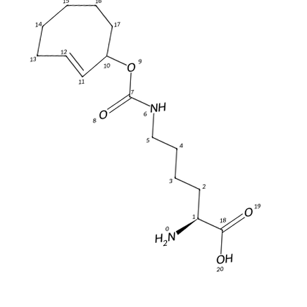 N[C@@H](CCCCNC(=O)OC1/C=C/CCCCC1)C(=O)O